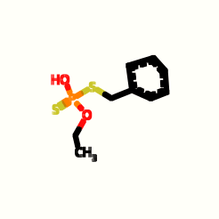 CCOP(O)(=S)SCc1ccccc1